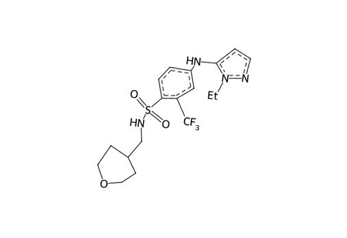 CCn1nccc1Nc1ccc(S(=O)(=O)NCC2CCOCC2)c(C(F)(F)F)c1